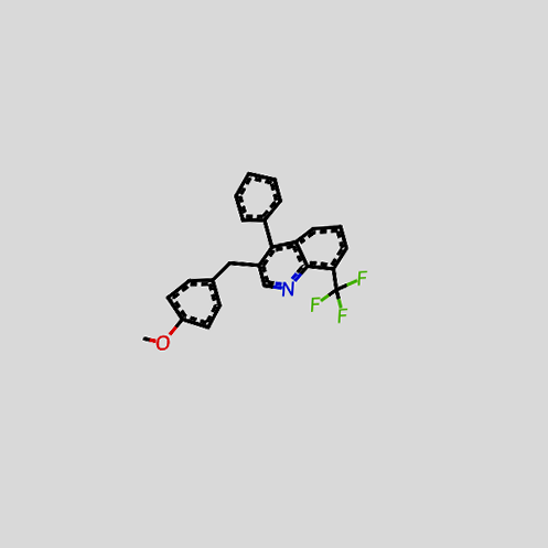 COc1ccc(Cc2cnc3c(C(F)(F)F)cccc3c2-c2ccccc2)cc1